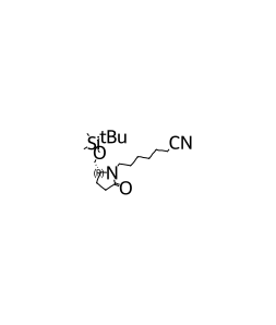 CC(C)(C)[Si](C)(C)OC[C@H]1CCC(=O)N1CCCCCCC#N